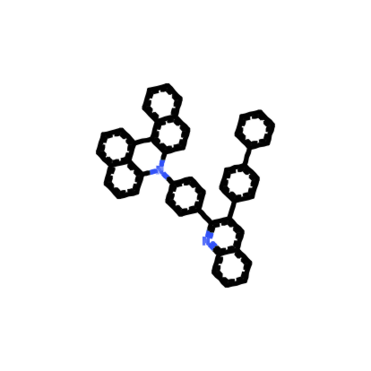 c1ccc(-c2ccc(-c3cc4ccccc4nc3-c3ccc(N4c5ccc6ccccc6c5-c5cccc6cccc4c56)cc3)cc2)cc1